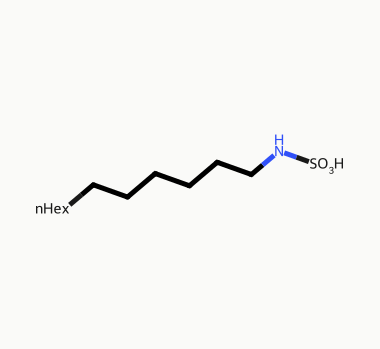 CCCCCCCCCCCCNS(=O)(=O)O